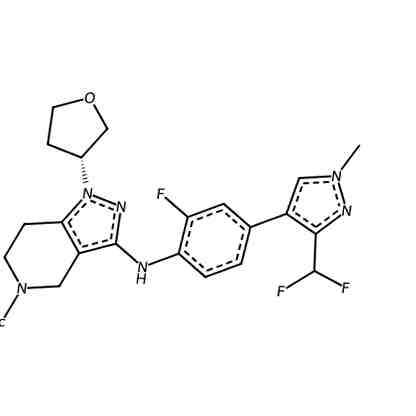 CC(=O)N1CCc2c(c(Nc3ccc(-c4cn(C)nc4C(F)F)cc3F)nn2[C@@H]2CCOC2)C1